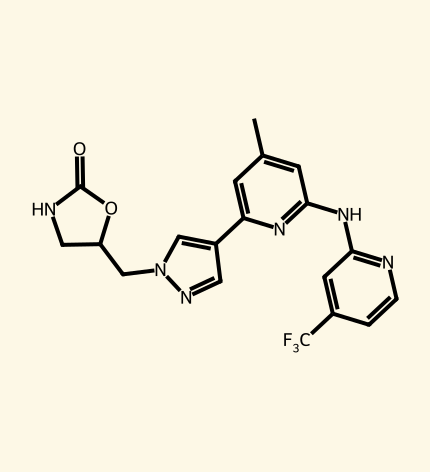 Cc1cc(Nc2cc(C(F)(F)F)ccn2)nc(-c2cnn(CC3CNC(=O)O3)c2)c1